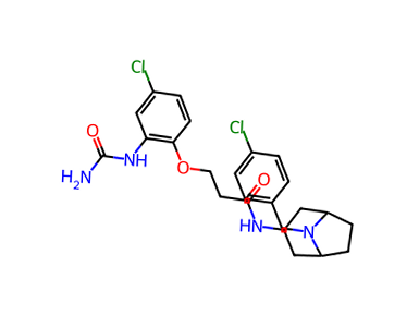 NC(=O)Nc1cc(Cl)ccc1OCCC(=O)NC1CC2CCC(C1)N2Cc1ccc(Cl)cc1